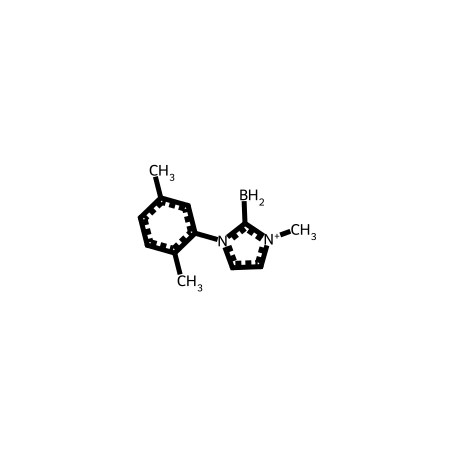 Bc1n(-c2cc(C)ccc2C)cc[n+]1C